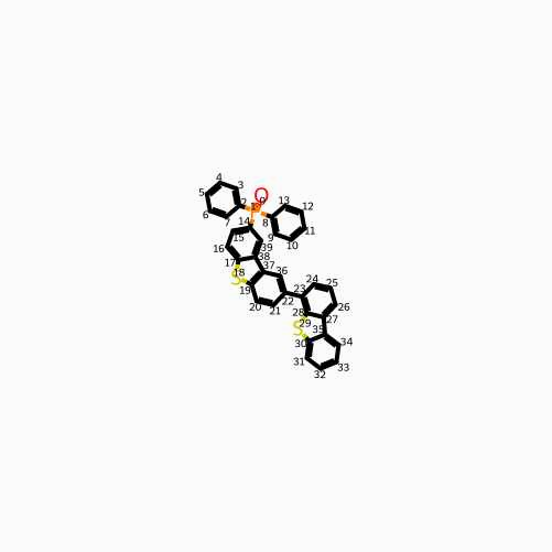 O=P(c1ccccc1)(c1ccccc1)c1ccc2sc3ccc(-c4cccc5c4sc4ccccc45)cc3c2c1